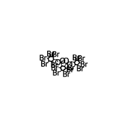 O=C(OCc1c(Br)c(Br)c(Br)c(Br)c1Br)c1c(Br)c(Br)c(Br)c(Br)c1C(=O)OCc1c(Br)c(Br)c(Br)c(Br)c1Br